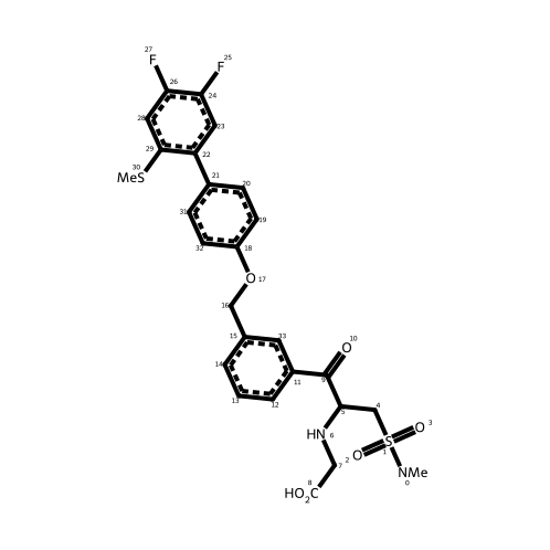 CNS(=O)(=O)CC(NCC(=O)O)C(=O)c1cccc(COc2ccc(-c3cc(F)c(F)cc3SC)cc2)c1